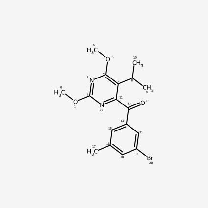 COc1nc(OC)c(C(C)C)c(C(=O)c2cc(C)cc(Br)c2)n1